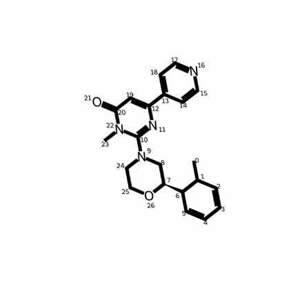 CC1C=CC=CC1[C@@H]1CN(c2nc(-c3ccncc3)cc(=O)n2C)CCO1